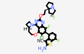 N#Cc1c(N)sc2c(F)ccc(-c3c(Cl)c4c5c(nc(OCC[C@@]67CCCN6C[C@H](F)C7)nc5c3F)N3CC[C@@H]3CCO4)c12